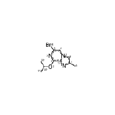 Cc1cn2cc(Br)nc(OC(C)C)c2n1